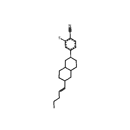 CCCC=CC1CCC2CC(c3ccc(C#N)c(F)c3)CCC2C1